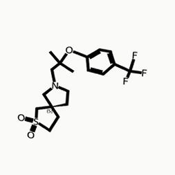 CC(C)(CN1CC[C@]2(CCS(=O)(=O)C2)C1)Oc1ccc(C(F)(F)F)cc1